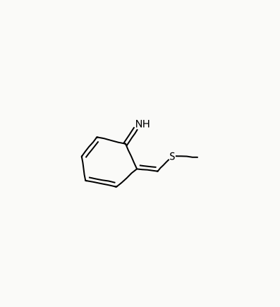 CS/C=C1/C=CC=CC1=N